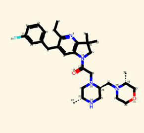 CCc1nc2c(cc1Cc1cccc(F)c1)N(C(=O)CN1C[C@@H](C)NC[C@@H]1CN1CCOC[C@H]1C)CC2(C)C